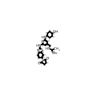 CC(NCc1cc(Nc2nc3ccc(N4C(=O)CCC4=O)cc3s2)nc(NC2CCC(O)CC2)c1)C(C)(C)C